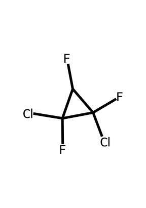 F[C]1C(F)(Cl)C1(F)Cl